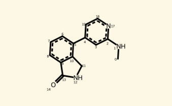 CNc1cc(-c2cccc3c2CNC3=O)ccn1